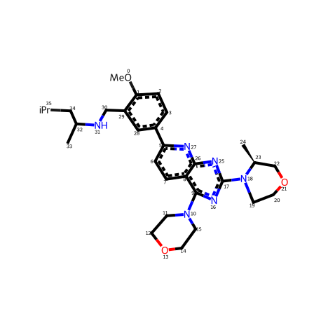 COc1ccc(-c2ccc3c(N4CCOCC4)nc(N4CCOC[C@@H]4C)nc3n2)cc1CNC(C)CC(C)C